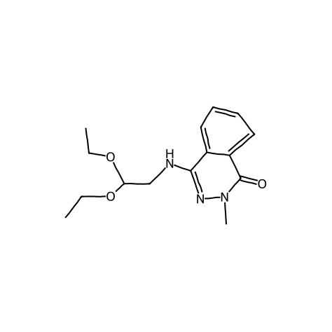 CCOC(CNc1nn(C)c(=O)c2ccccc12)OCC